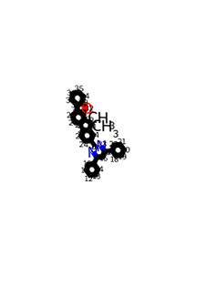 CC1(C)c2cc(-c3nc(-c4ccccc4)cc(-c4ccccc4)n3)ccc2-c2ccc3c(oc4ccccc43)c21